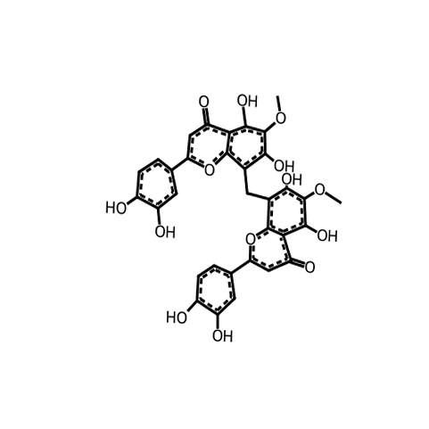 COc1c(O)c(Cc2c(O)c(OC)c(O)c3c(=O)cc(-c4ccc(O)c(O)c4)oc23)c2oc(-c3ccc(O)c(O)c3)cc(=O)c2c1O